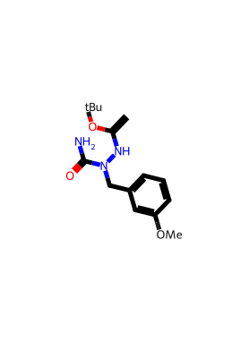 C=C(NN(Cc1cccc(OC)c1)C(N)=O)OC(C)(C)C